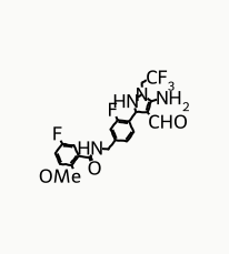 COc1ccc(F)cc1C(=O)NCc1ccc(C2NN(CC(F)(F)F)C(N)=C2C=O)c(F)c1